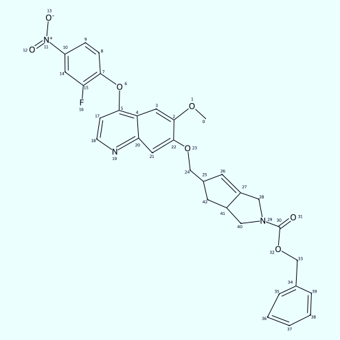 COc1cc2c(Oc3ccc([N+](=O)[O-])cc3F)ccnc2cc1OCC1C=C2CN(C(=O)OCc3ccccc3)CC2C1